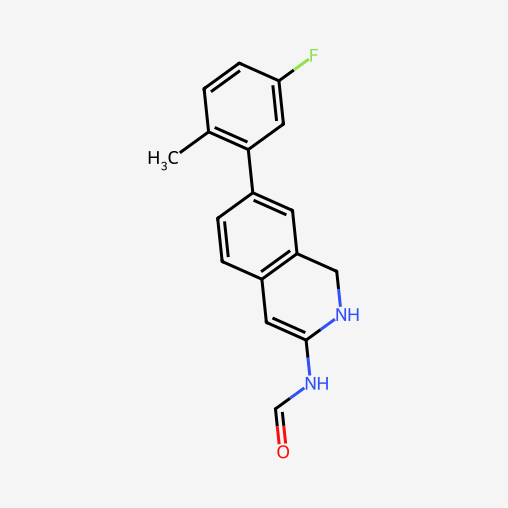 Cc1ccc(F)cc1-c1ccc2c(c1)CNC(NC=O)=C2